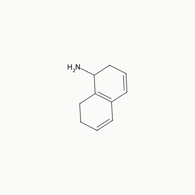 NC1CC=CC2=C1CCC=C2